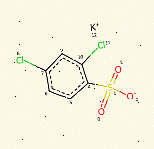 O=S(=O)([O-])c1ccc(Cl)cc1Cl.[K+]